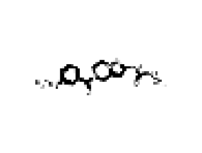 CNC(=O)Nc1cc2n(n1)CCN(C(=O)c1cccc(OC)c1)C2